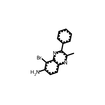 Cc1nc2ccc(N)c(Br)c2nc1-c1ccccc1